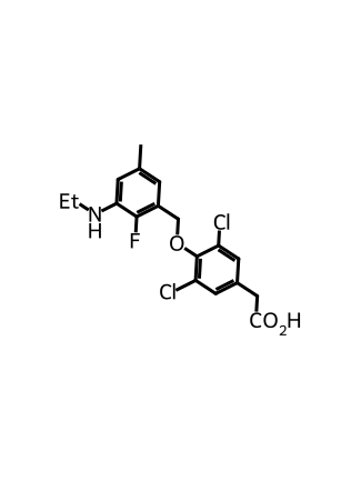 CCNc1cc(C)cc(COc2c(Cl)cc(CC(=O)O)cc2Cl)c1F